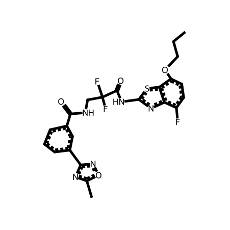 CCCOc1ccc(F)c2nc(NC(=O)C(F)(F)CNC(=O)c3cccc(-c4noc(C)n4)c3)sc12